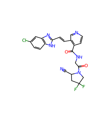 N#CC1CC(F)(F)CN1C(=O)CNC(=O)c1ccncc1/C=C/c1nc2cc(Cl)ccc2[nH]1